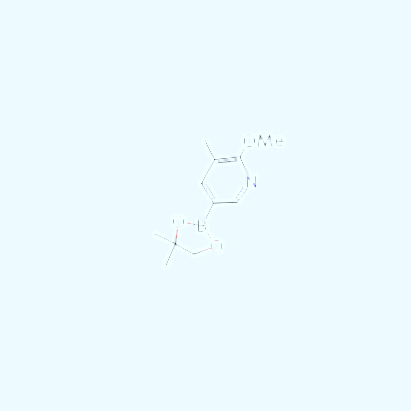 COc1ncc(B2OCC(C)(C)O2)cc1C